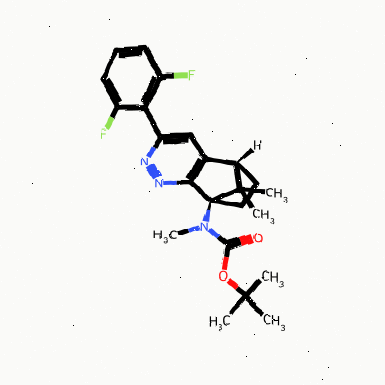 CN(C(=O)OC(C)(C)C)[C@@]12CC[C@@H](c3cc(-c4c(F)cccc4F)nnc31)C2(C)C